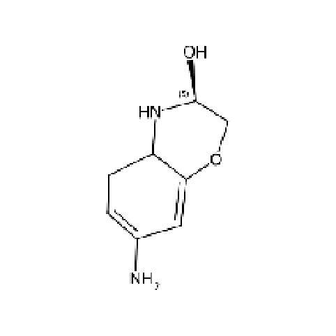 NC1=CCC2N[C@@H](O)COC2=C1